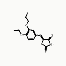 CCCOc1cc(/C=C2\SC(=S)NC2=O)ccc1OCC